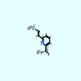 CC(C)CCc1cccc([C@H](C)C(C)C)n1